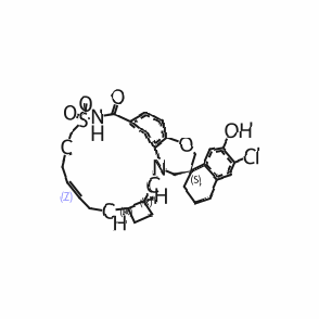 O=C1NS(=O)(=O)CCC/C=C\CC[C@@H]2CC[C@H]2CN2C[C@@]3(CCCc4cc(Cl)c(O)cc43)COc3ccc1cc32